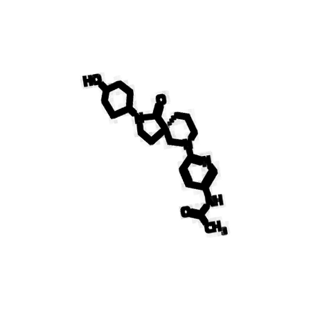 CC(=O)Nc1ccc(N2CCC[C@@]3(CCN(C4CCC(O)CC4)C3=O)C2)nc1